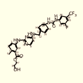 Cc1ccc(Nc2nccc(NCc3ccc(NC(=O)Nc4cc(F)cc(C(F)(F)F)c4)cc3)n2)cc1C(=O)OCCO